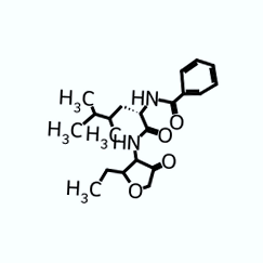 CCC1OCC(=O)C1NC(=O)[C@H](CC(C)C(C)C)NC(=O)c1ccccc1